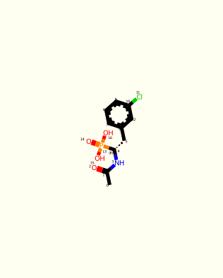 CC(=O)N[C@@H](Cc1cccc(Cl)c1)P(=O)(O)O